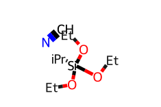 C#N.CCO[Si](OCC)(OCC)C(C)C